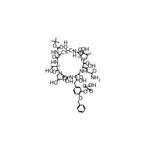 C[C@@H](O)[C@@H]1NC(=O)[C@@H](NC(=O)OC(C)(C)C)C[C@@H](O)CNC(=O)[C@@H]2[C@@H](O)[C@@H](C)CN2C(=O)[C@H]([C@H](O)CC(N)=O)NC(=O)[C@H]([C@H](O)Cc2ccc(OCc3ccccc3)c(OS(=O)(=O)O)c2)NC(=O)[C@@H]2C[C@@H](O)CN2C1=O